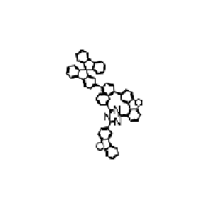 c1ccc(-c2nc(-c3ccc4oc5ccccc5c4c3)nc(-c3cccc4oc5ccc(-c6ccc(-c7ccc8c(c7)C7(c9ccccc9-c9ccccc97)c7ccccc7-8)cc6)cc5c34)n2)cc1